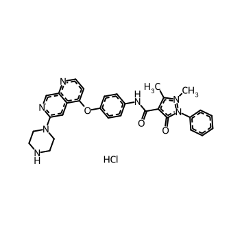 Cc1c(C(=O)Nc2ccc(Oc3ccnc4cnc(N5CCNCC5)cc34)cc2)c(=O)n(-c2ccccc2)n1C.Cl